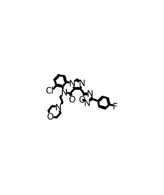 O=c1c2c(-c3nc(-c4ccc(F)cc4)no3)ncn2c2cccc(Cl)c2n1CCN1CCOCC1